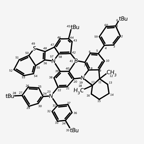 CC(C)(C)c1ccc(-c2cc3c4c(c2)C2(C)CCCCC2(C)N4c2cc(N(c4ccc(C(C)(C)C)cc4)c4ccc(C(C)(C)C)cc4)cc4c2B3c2cc(C(C)(C)C)cc3c5sc6ccccc6c5n-4c23)cc1